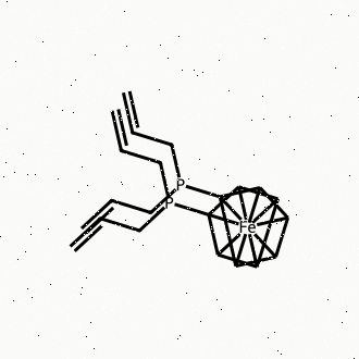 C=CCP(CC=C)[C]12[CH]3[CH]4[CH]5[CH]1[Fe]45321678[CH]2[CH]1[CH]6[C]7(P(CC=C)CC=C)[CH]28